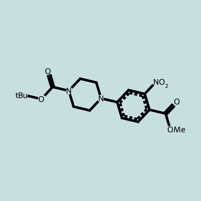 COC(=O)c1ccc(N2CCN(C(=O)OC(C)(C)C)CC2)cc1[N+](=O)[O-]